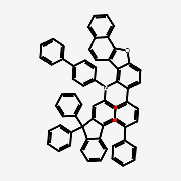 c1ccc(-c2ccc(-c3ccc4oc5c6ccccc6ccc5c4c3N(c3ccc(-c4ccccc4)cc3)c3ccc4c(c3)C(c3ccccc3)(c3ccccc3)c3ccccc3-4)cc2)cc1